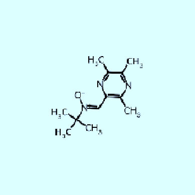 Cc1nc(C)c(C=[N+]([O-])C(C)(C)C)nc1C